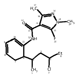 CCC(Cl)CC(C)C1CC=CC=C1NC(=O)c1c(C)nn(C)c1F